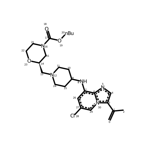 C=C(C)c1cnc2c(NC3CCN(C[C@@H]4CN(C(=O)OCCCC)CCO4)CC3)cc(Cl)cn12